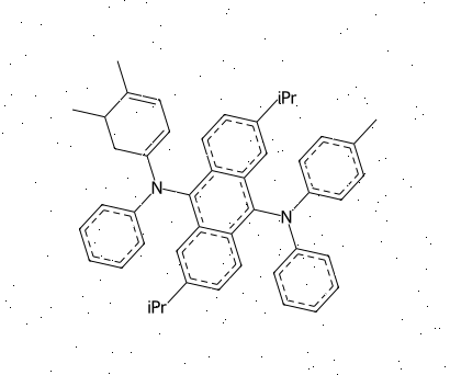 CC1=CC=C(N(c2ccccc2)c2c3cc(C(C)C)ccc3c(N(c3ccccc3)c3ccc(C)cc3)c3cc(C(C)C)ccc23)CC1C